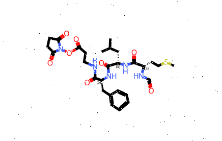 CSCC[C@H](NC=O)C(=O)N[C@@H](CC(C)C)C(=O)N[C@@H](Cc1ccccc1)C(=O)NCCC(=O)ON1C(=O)CCC1=O